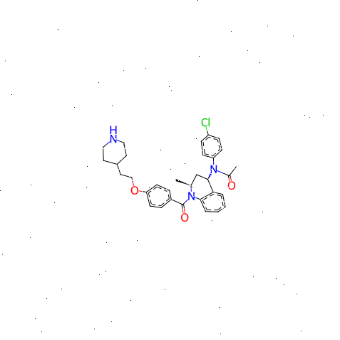 CC(=O)N(c1ccc(Cl)cc1)[C@@H]1C[C@H](C)N(C(=O)c2ccc(OCCC3CCNCC3)cc2)c2ccccc21